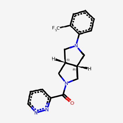 O=C(c1cccnn1)N1C[C@@H]2CN(c3ccccc3C(F)(F)F)C[C@@H]2C1